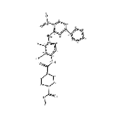 COC(=O)C1CCC(C(=O)Nc2ccc(Nc3nc(-c4ccccc4)ccc3[N+](=O)[O-])c(C)c2F)CC1